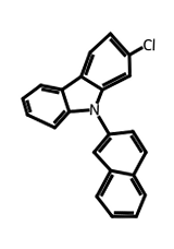 Clc1ccc2c3ccccc3n(-c3ccc4ccccc4c3)c2c1